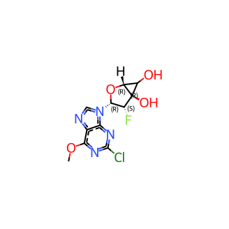 COc1nc(Cl)nc2c1ncn2[C@@H]1O[C@@H]2C(O)[C@]2(O)[C@@H]1F